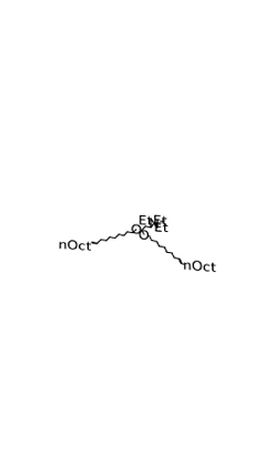 CCCCCCCCC=CCCCCCCCCOC(CC[N+](CC)(CC)CC)OCCCCCCCCC=CCCCCCCCC